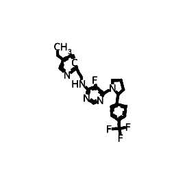 CCc1ccc(CNc2ncnc(N3CCCC3c3ccc(C(F)(F)F)cc3)c2F)nc1